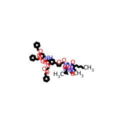 CCCCCC(C(=O)NCNC(=O)c1ccc(-c2ccc(C(=O)NC(CC(=O)OCc3ccccc3)C(=O)OCc3ccccc3)c(OCC(=O)OCc3ccccc3)c2)o1)C(CC)N(C=O)OC(=O)C1CC1C